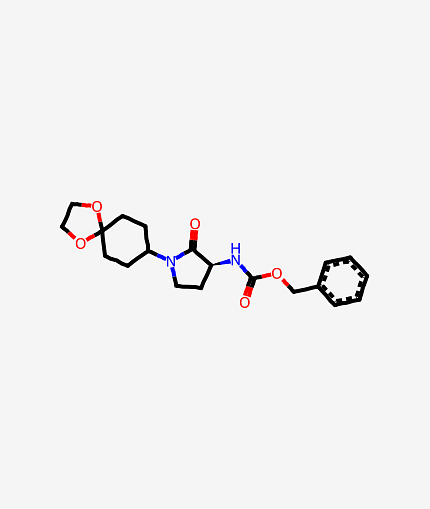 O=C(N[C@H]1CCN(C2CCC3(CC2)OCCO3)C1=O)OCc1ccccc1